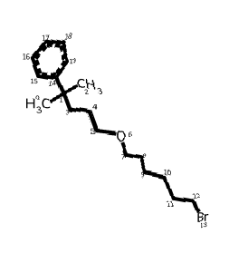 CC(C)(CCCOCCCCCCBr)c1ccccc1